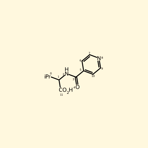 CC(C)C(NC(=O)c1ccncc1)C(=O)O